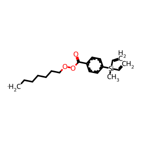 [CH2]CCCCCCOOC(=O)c1ccc([Si](C)(C=C)C=C)cc1